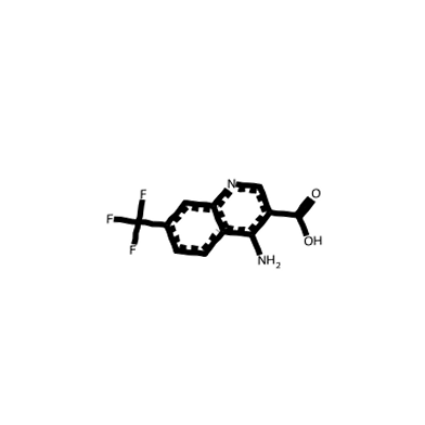 Nc1c(C(=O)O)cnc2cc(C(F)(F)F)ccc12